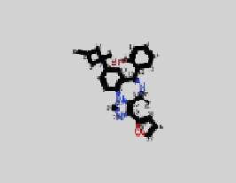 CC1CC(C)(c2ccc3c(c2)C(c2ccccc2Br)=N[C@@H](C)c2c(-c4ccco4)ncn2-3)C1